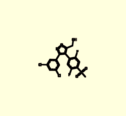 CS(=O)(=O)c1cc(F)c(-c2c(-c3cc(Cl)cc(Cl)c3)noc2CO)cc1F